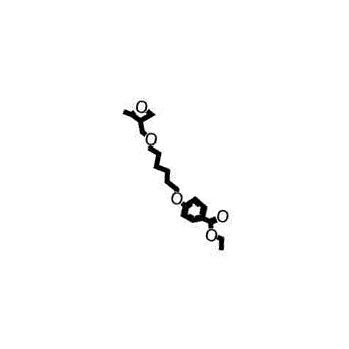 CCOC(=O)c1ccc(OCCCCCCOCC2COC2C)cc1